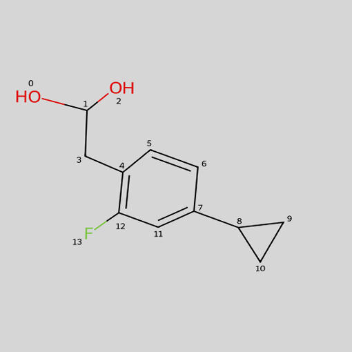 OC(O)Cc1ccc(C2CC2)cc1F